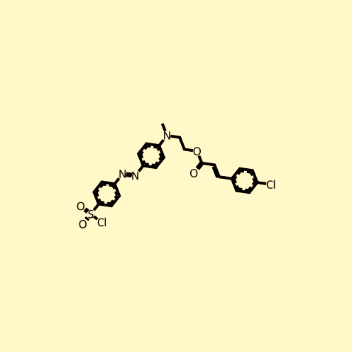 CN(CCOC(=O)/C=C/c1ccc(Cl)cc1)c1ccc(/N=N/c2ccc(S(=O)(=O)Cl)cc2)cc1